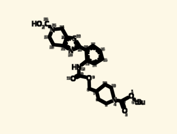 CC(C)(C)OC(=O)N1CCC(COC(=O)Nc2ccccc2-c2nc3c(s2)CN(C(=O)O)CC3)CC1